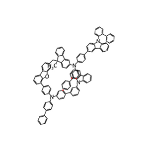 CC1(Cc2ccc3c(c2)oc2c(-c4ccc(N(c5ccc(-c6ccccc6)cc5)c5ccc(-c6cccc(-n7c8ccccc8c8ccccc87)c6)cc5)cc4)cccc23)c2ccccc2-c2cc(N(c3ccc(-c4ccc5c(c4)c4ccccc4n5-c4ccccc4-c4ccccc4)cc3)c3cccc(-c4ccccc4)c3)ccc21